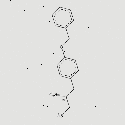 N[C@@H](CS)Cc1ccc(OCc2ccccc2)cc1